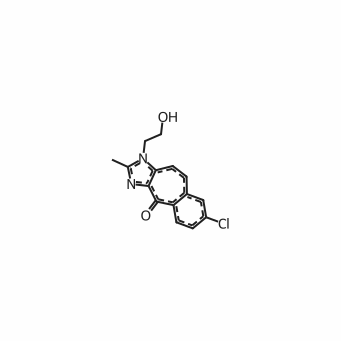 Cc1nc2c(=O)c3ccc(Cl)cc3ccc2n1CCO